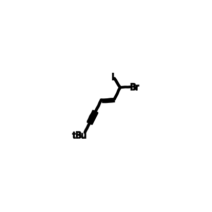 CC(C)(C)C#CC=CC(Br)I